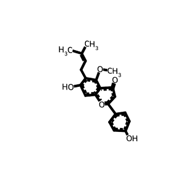 COc1c(CC=C(C)C)c(O)cc2oc(-c3ccc(O)cc3)cc(=O)c12